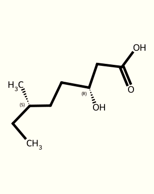 CC[C@H](C)CC[C@@H](O)CC(=O)O